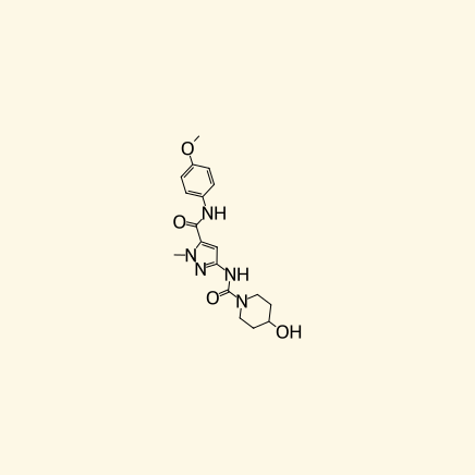 COc1ccc(NC(=O)c2cc(NC(=O)N3CCC(O)CC3)nn2C)cc1